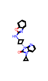 O=c1n(C2CC2)c2cccnc2n1[C@H]1C[C@H](Nc2nc3ccccc3o2)C1